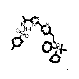 CC(=NNS(=O)(=O)c1ccc(C)cc1)c1csc(-c2ccc(CCO[Si](c3ccccc3)(c3ccccc3)C(C)(C)C)cn2)n1